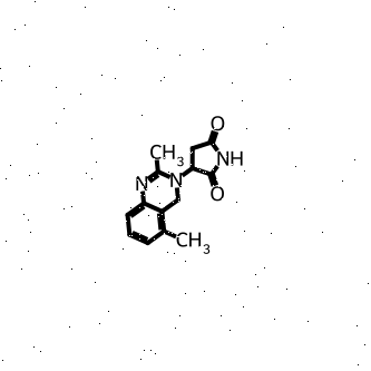 CC1=Nc2cccc(C)c2CN1C1CC(=O)NC1=O